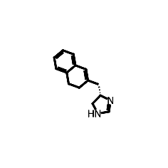 C1=N[C@@H](CC2=Cc3ccccc3CC2)CN1